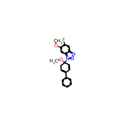 COc1cc2c(cc1F)nnn2C1(OC)C=CC(c2ccccc2)=CC1